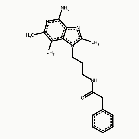 Cc1nc(N)c2nc(C)n(CCCNC(=O)Cc3ccccc3)c2c1C